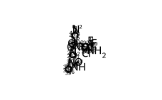 CN(C)C1CCN(C(=O)[C@@H](Cc2cc(Cl)c(N)c(C(F)(F)F)c2)NC(=O)N2CCC(N3Cc4ccccc4NC3=O)CC2)CC1